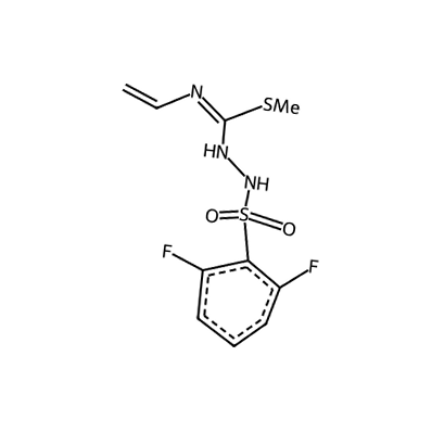 C=C/N=C(\NNS(=O)(=O)c1c(F)cccc1F)SC